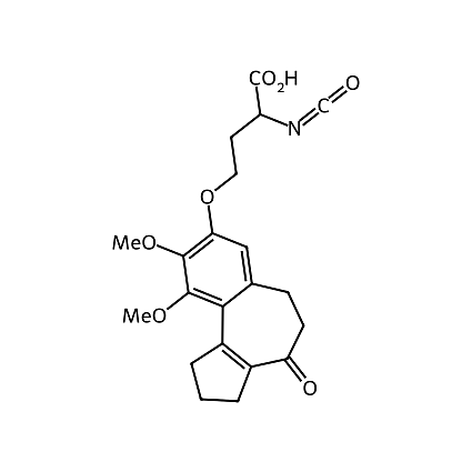 COc1c(OCCC(N=C=O)C(=O)O)cc2c(c1OC)C1=C(CCC1)C(=O)CC2